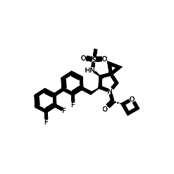 CS(=O)(=O)N[C@@H]1[C@H](Cc2cccc(-c3cccc(F)c3F)c2F)N(C(=O)[C@H]2CCO2)CC12CC2